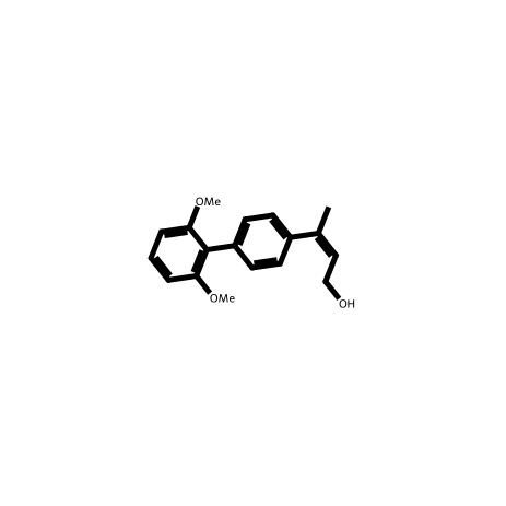 COc1cccc(OC)c1-c1ccc(/C(C)=C\CO)cc1